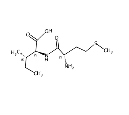 CC[C@H](C)[C@H](NC(=O)[C@@H](N)CCSC)C(=O)O